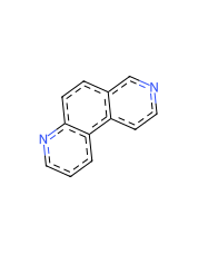 c1cnc2ccc3cnccc3c2c1